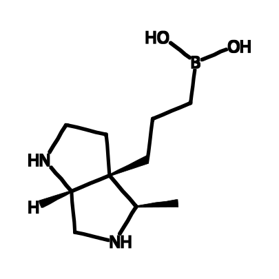 C[C@H]1NC[C@@H]2NCC[C@@]21CCCB(O)O